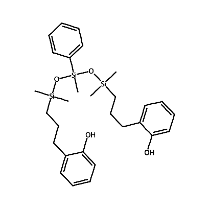 C[Si](C)(CCCc1ccccc1O)O[Si](C)(O[Si](C)(C)CCCc1ccccc1O)c1ccccc1